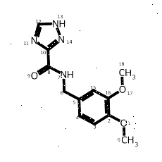 COc1ccc(CNC(=O)c2nc[nH]n2)cc1OC